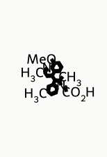 COc1cccc2c(-c3c(C)n(CC(=O)O)c4ccc(C)cc34)cc(C)nc12